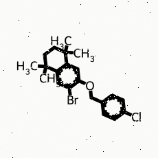 CC1(C)CCC(C)(C)c2cc(OCc3ccc(Cl)cc3)c(Br)cc21